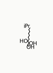 CC(C)CCCCCCCC(O)C(O)CO